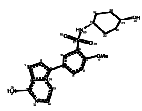 COc1ccc(-c2cnc3c(N)nccn23)cc1S(=O)(=O)N[C@H]1CC[C@H](O)CC1